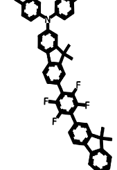 Cc1ccc(N(c2ccc(C)cc2)c2ccc3c(c2)C(C)(C)c2cc(-c4c(F)c(F)c(-c5ccc6c(c5)C(C)(C)c5ccccc5-6)c(F)c4F)ccc2-3)cc1